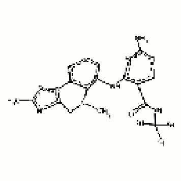 [2H]C([2H])([2H])NC(=O)c1cnc(N)nc1Nc1cccc2c1N(C)Cc1nc(C)nn1-2